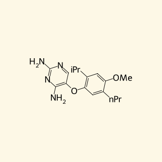 CCCc1cc(Oc2cnc(N)nc2N)c(C(C)C)cc1OC